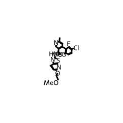 COCCOc1ccc2nc(NC(=O)c3cnc(C)cc3-c3c(OC)ccc(Cl)c3F)sc2n1